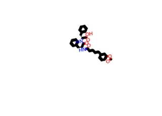 O=C(/C=C/C=C/c1ccc2c(c1)OCO2)N[C@@H](Cc1ccccc1)C(=O)N[C@H](Cc1ccccc1)C(=O)O